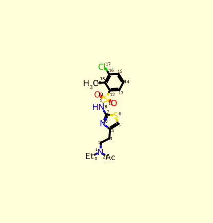 CCN(CCc1csc(NS(=O)(=O)c2cccc(Cl)c2C)n1)C(C)=O